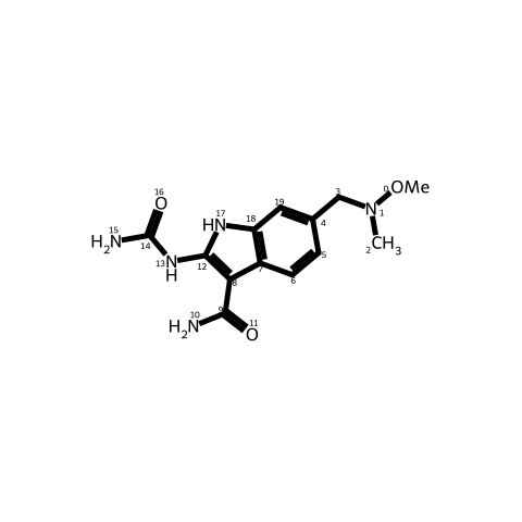 CON(C)Cc1ccc2c(C(N)=O)c(NC(N)=O)[nH]c2c1